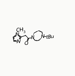 Cn1ccnc1CC(=O)N1CCCN(C(C)(C)C)CC1